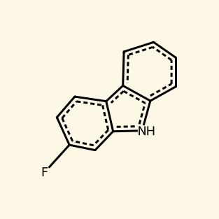 Fc1ccc2c(c1)[nH]c1ccccc12